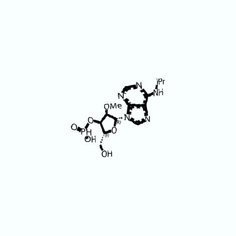 COC1C(O[PH](=O)O)[C@@H](CO)O[C@H]1n1cnc2c(NC(C)C)ncnc21